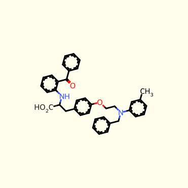 Cc1cccc(N(CCOc2ccc(CC(Nc3ccccc3C(=O)c3ccccc3)C(=O)O)cc2)Cc2ccccc2)c1